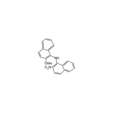 COc1ccc2ccccc2c1Nc1c([N+](=O)[O-])ccc2ccccc12